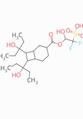 CCC(O)(CC)C1C2CCC(C(=O)OC(O)C(F)(F)S(=O)(=O)O)CC2C1C(O)(CC)CC